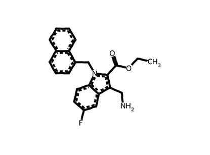 CCOC(=O)c1c(CN)c2cc(F)ccc2n1Cc1cccc2ccccc12